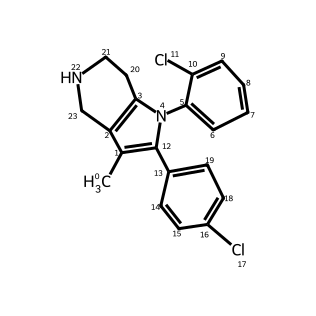 Cc1c2c(n(-c3ccccc3Cl)c1-c1ccc(Cl)cc1)CCNC2